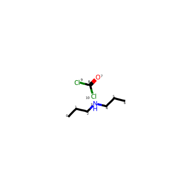 CCCNCCC.O=C(Cl)Cl